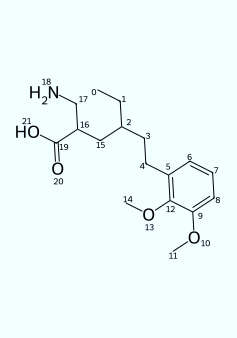 CCC(CCc1cccc(OC)c1OC)CC(CN)C(=O)O